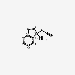 C#CCC1(N)C=Cc2ccccc21